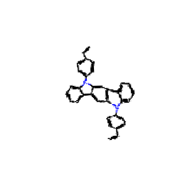 C=Cc1ccc(-n2c3ccccc3c3cc4c(cc32)c2ccccc2n4-c2ccc(C=C)cc2)cc1